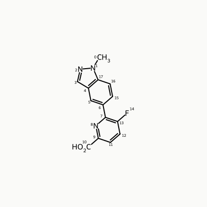 Cn1ncc2cc(-c3nc(C(=O)O)ccc3F)ccc21